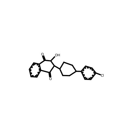 O=C1c2ccccc2C(=O)C(C2CCC(c3ccc(Cl)cc3)CC2)C1O